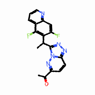 CC(=O)c1ccc2nnc(C(C)c3c(F)cc4ncccc4c3F)n2n1